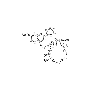 COC(=O)[C@@]12C[C@H]1/C=C\CCCCC[C@H](N)C(=O)N1C[C@H](Oc3cc(-c4ccccc4)nc4cc(OC)ccc34)C[C@H]1C(=O)N2